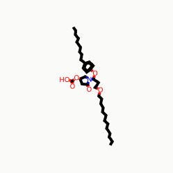 CCCCCCCCCCCCCOCCC(Oc1ccc(CCCCCCCCC)cc1)N1CC(OC(=O)O)CC1=O